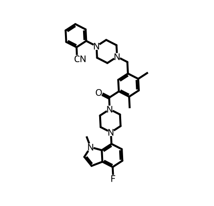 Cc1cc(C)c(C(=O)N2CCN(c3ccc(F)c4ccn(C)c34)CC2)cc1CN1CCN(c2ccccc2C#N)CC1